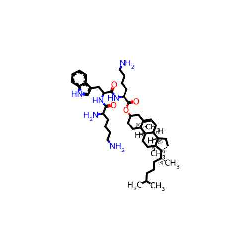 CC(C)CCC[C@@H](C)[C@H]1CC[C@H]2[C@@H]3CC=C4CC(OC(=O)C(CCCCN)NC(=O)C(Cc5c[nH]c6ccccc56)NC(=O)C(N)CCCCN)CC[C@]4(C)[C@H]3CC[C@]12C